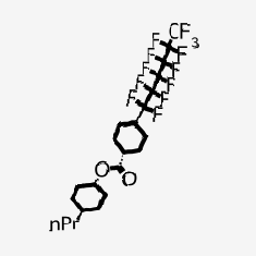 CCC[C@H]1CC[C@H](OC(=O)[C@H]2CC[C@H](C(F)(F)C(F)(F)C(F)(F)C(F)(F)C(F)(F)C(F)(F)F)CC2)CC1